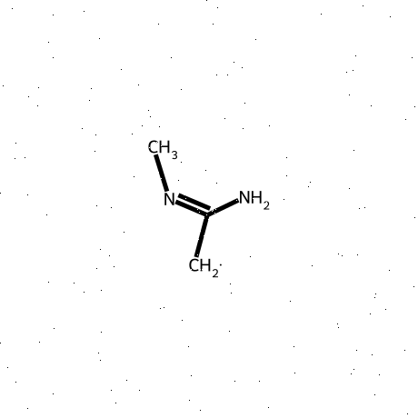 [CH2]C(N)=NC